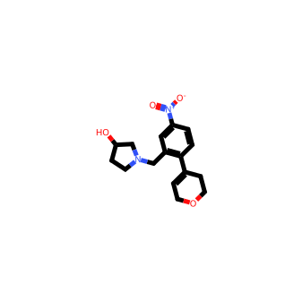 O=[N+]([O-])c1ccc(C2=CCOCC2)c(CN2CCC(O)C2)c1